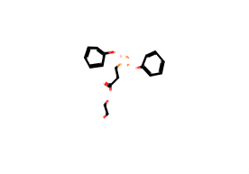 O=C(CCP(=O)(Oc1ccccc1)Oc1ccccc1)OCCO